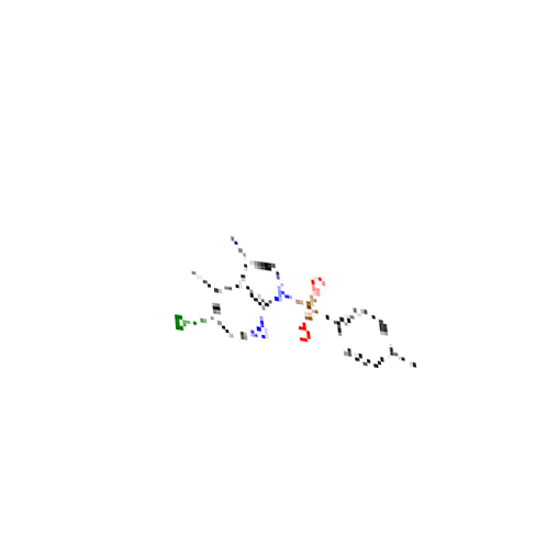 Cc1ccc(S(=O)(=O)n2cc(I)c3c(C)c(Br)cnc32)cc1